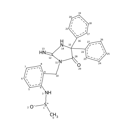 C[S+]([O-])Nc1ccccc1CN1C(=N)NC(c2ccccc2)(c2ccccc2)C1=O